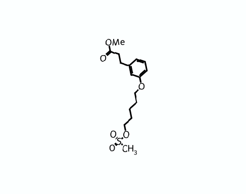 COC(=O)CCc1cccc(OCCCCCOS(C)(=O)=O)c1